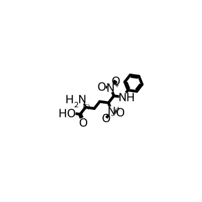 N[C@@H](CCC(C(Nc1ccccc1)[N+](=O)[O-])[N+](=O)[O-])C(=O)O